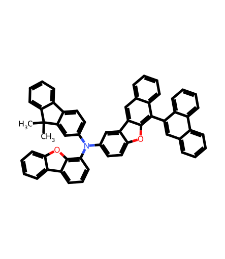 CC1(C)c2ccccc2-c2ccc(N(c3ccc4oc5c(-c6cc7ccccc7c7ccccc67)c6ccccc6cc5c4c3)c3cccc4c3oc3ccccc34)cc21